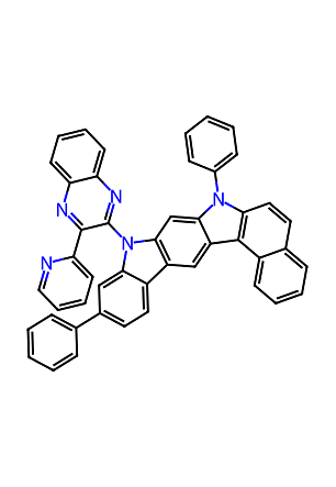 c1ccc(-c2ccc3c4cc5c6c7ccccc7ccc6n(-c6ccccc6)c5cc4n(-c4nc5ccccc5nc4-c4ccccn4)c3c2)cc1